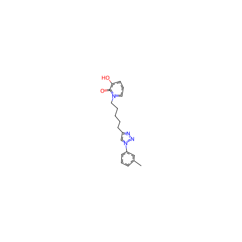 Cc1cccc(-n2cc(CCCCCn3cccc(O)c3=O)nn2)c1